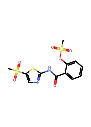 CS(=O)(=O)Oc1ccccc1C(=O)Nc1ncc(S(C)(=O)=O)s1